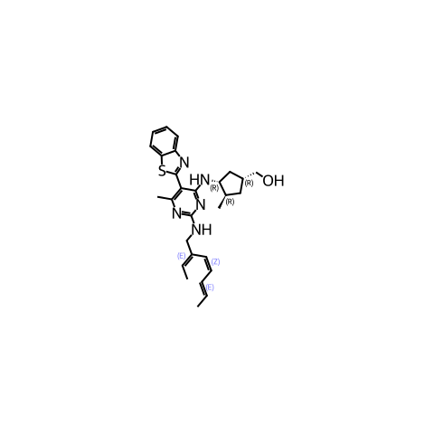 C/C=C/C=C\C(=C/C)CNc1nc(C)c(-c2nc3ccccc3s2)c(N[C@@H]2C[C@H](CO)C[C@H]2C)n1